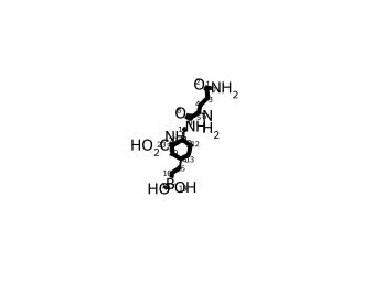 NC(=O)CC[C@H](N)C(=O)NC[C@@H]1CC[C@@H](CCB(O)O)C[C@]1(N)C(=O)O